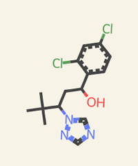 CC(C)(C)C(CC(O)c1ccc(Cl)cc1Cl)n1cncn1